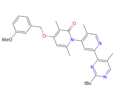 COc1cccc(COc2cc(C)n(-c3cc(-c4nc(C(C)(C)C)ncc4C)ncc3C)c(=O)c2C)c1